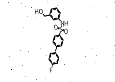 O=S(=O)(Nc1cccc(CO)c1)c1ccc(-c2ccc(F)cc2)cc1